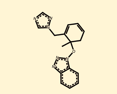 CC1(On2nnc3ccccc32)CC=CC=C1Cn1cncn1